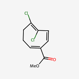 COC(=O)C1=C/CC/C(Cl)=C(Cl)/C=C\1